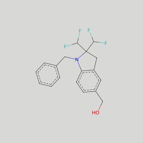 OCc1ccc2c(c1)CC(C(F)F)(C(F)F)N2Cc1ccccc1